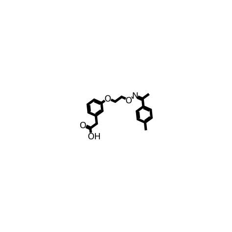 CC(=NOCCOc1cccc(CC(=O)O)c1)c1ccc(C)cc1